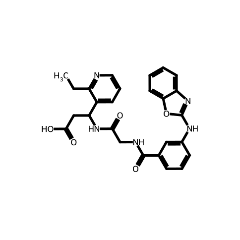 CCc1ncccc1C(CC(=O)O)NC(=O)CNC(=O)c1cccc(Nc2nc3ccccc3o2)c1